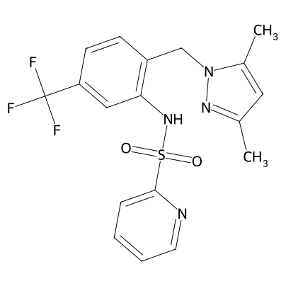 Cc1cc(C)n(Cc2ccc(C(F)(F)F)cc2NS(=O)(=O)c2ccccn2)n1